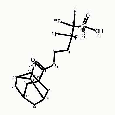 O=C(OCCC(F)(F)C(F)(F)S(=O)(=O)O)C12CC3CC(C1)C(O)C(C3)C2